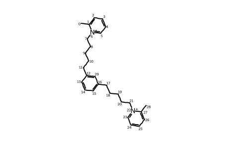 Cc1cccc[n+]1CCCCCc1cccc(CCCCC[n+]2ccccc2C)c1